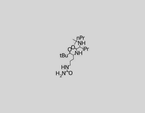 CCCC(C)(C)NC(C(=O)NC(CCCNC(N)=O)C(=O)C(C)(C)C)C(C)C